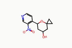 O=[N+]([O-])c1cnccc1C1CC(O)CC2(CC2)O1